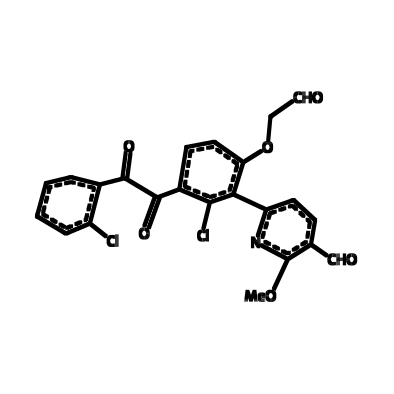 COc1nc(-c2c(OCC=O)ccc(C(=O)C(=O)c3ccccc3Cl)c2Cl)ccc1C=O